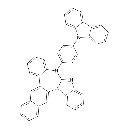 c1ccc2c(c1)-c1cc3ccccc3cc1-n1c(nc3ccccc31)N2c1ccc(-n2c3ccccc3c3ccccc32)cc1